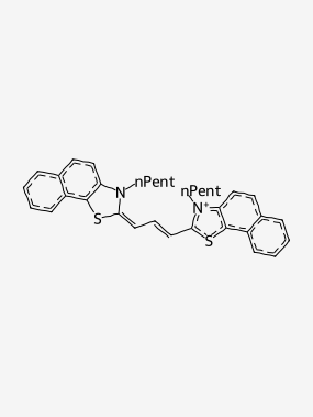 CCCCCN1/C(=C\C=C\c2sc3c4ccccc4ccc3[n+]2CCCCC)Sc2c1ccc1ccccc21